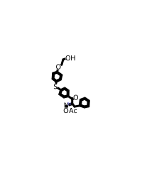 CC(=O)O/N=C(\Cc1ccccc1)C(=O)c1ccc(Sc2ccc(OCCO)cc2)cc1